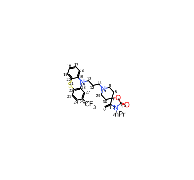 C=C1N(CCC)C(=O)OC12CCN(CCCN1c3ccccc3Sc3ccc(C(F)(F)F)cc31)CC2